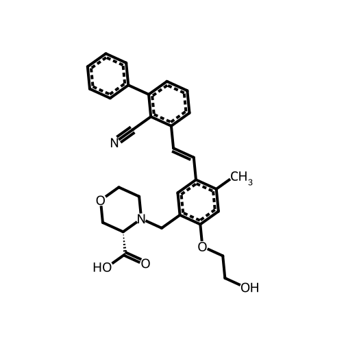 Cc1cc(OCCO)c(CN2CCOC[C@H]2C(=O)O)cc1/C=C/c1cccc(-c2ccccc2)c1C#N